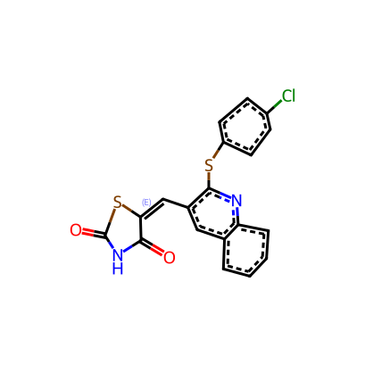 O=C1NC(=O)/C(=C\c2cc3ccccc3nc2Sc2ccc(Cl)cc2)S1